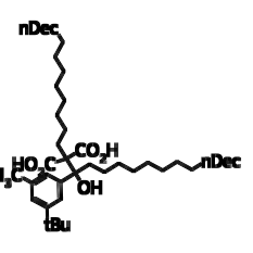 CCCCCCCCCCCCCCCCCCC(C(=O)O)(C(=O)O)C(O)(CCCCCCCCCCCCCCCCCC)c1cc(C)cc(C(C)(C)C)c1